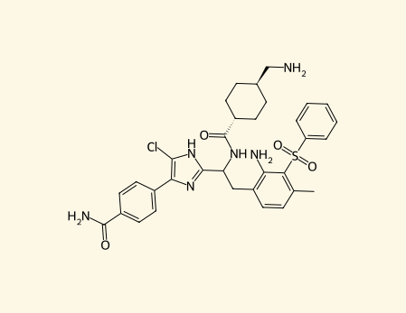 Cc1ccc(CC(NC(=O)[C@H]2CC[C@H](CN)CC2)c2nc(-c3ccc(C(N)=O)cc3)c(Cl)[nH]2)c(N)c1S(=O)(=O)c1ccccc1